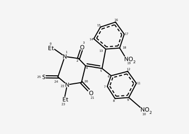 CCN1C(=O)C(=C(c2ccc([N+](=O)[O-])cc2)c2ccccc2[N+](=O)[O-])C(=O)N(CC)C1=S